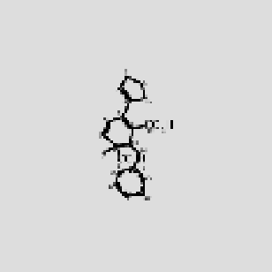 CC1(C(=O)O)C=CC(C2=CCCC2)=C(C(=O)O)C1Cc1ccccc1